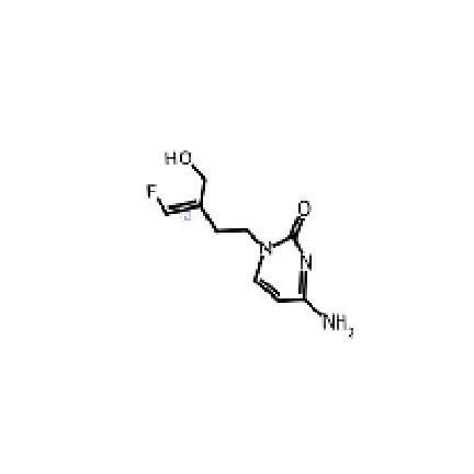 Nc1ccn(CC/C(=C/F)CO)c(=O)n1